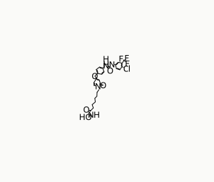 O=C(CCCCCCCn1ccc(Oc2ccc(NC(=O)Nc3ccc(Cl)c(C(F)(F)F)c3)cc2)cc1=O)NO